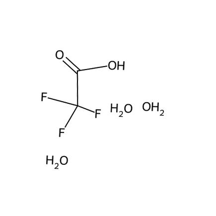 O.O.O.O=C(O)C(F)(F)F